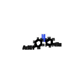 CC(=O)NC1CCC(Nc2ccc(C(C)(C)C)cc2)CC1